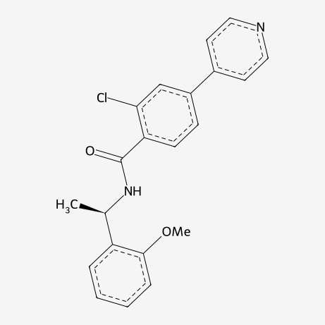 COc1ccccc1[C@@H](C)NC(=O)c1ccc(-c2ccncc2)cc1Cl